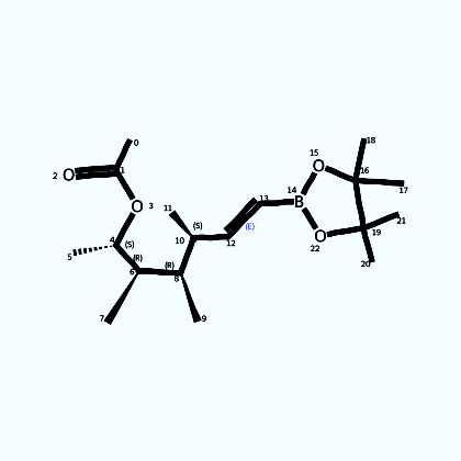 CC(=O)O[C@@H](C)[C@H](C)[C@H](C)[C@@H](C)/C=C/B1OC(C)(C)C(C)(C)O1